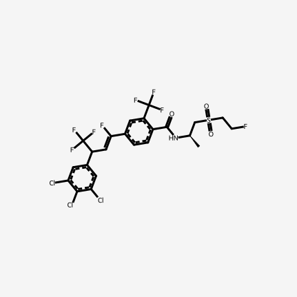 C[C@H](CS(=O)(=O)CCF)NC(=O)c1ccc(/C(F)=C/C(c2cc(Cl)c(Cl)c(Cl)c2)C(F)(F)F)cc1C(F)(F)F